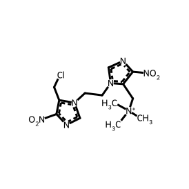 C[N+](C)(C)Cc1c([N+](=O)[O-])ncn1CCn1cnc([N+](=O)[O-])c1CCl